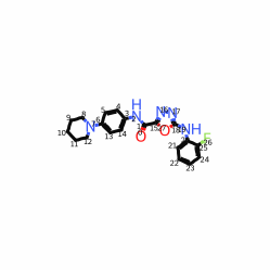 O=C(Nc1ccc(N2CCCCC2)cc1)c1nnc(Nc2ccccc2F)o1